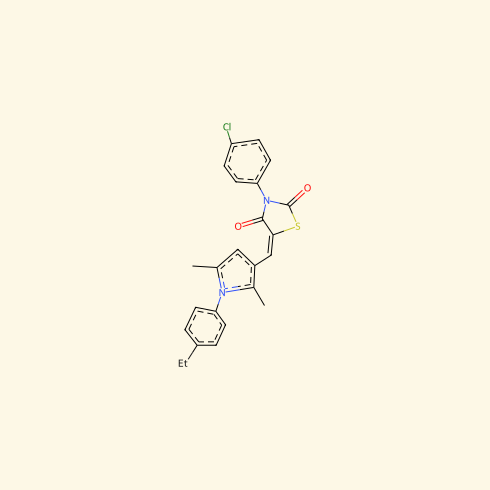 CCc1ccc(-n2c(C)cc(/C=C3/SC(=O)N(c4ccc(Cl)cc4)C3=O)c2C)cc1